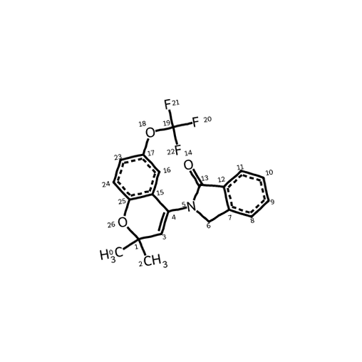 CC1(C)C=C(N2Cc3ccccc3C2=O)c2cc(OC(F)(F)F)ccc2O1